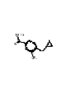 Cc1cc(C(=O)C(=O)O)ccc1SC1CC1